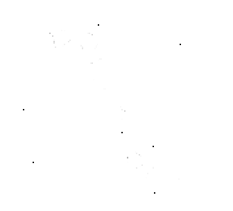 O=S(=O)(CCO)c1cccc(OCC(O)CN[C@H]2COC3(CCN(S(=O)(=O)c4cccc(-c5ccncc5)c4)CC3)C2)c1